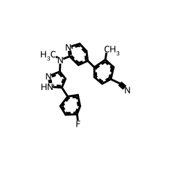 Cc1cc(C#N)ccc1-c1ccnc(N(C)c2cc(-c3ccc(F)cc3)[nH]n2)c1